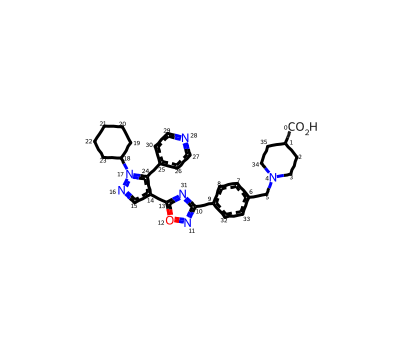 O=C(O)C1CCN(Cc2ccc(-c3noc(-c4cnn(C5CCCCC5)c4-c4ccncc4)n3)cc2)CC1